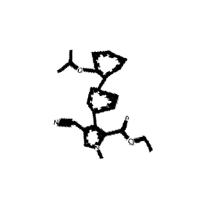 CCOC(=O)c1c(-c2ccc(-c3ccccc3OC(C)C)cc2)c(C#N)cn1C